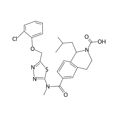 CC(C)CC1c2ccc(C(=O)N(C)c3nnc(COc4ccccc4Cl)s3)cc2CCN1C(=O)O